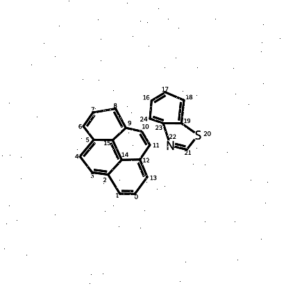 c1cc2ccc3cccc4ccc(c1)c2c34.c1ccc2scnc2c1